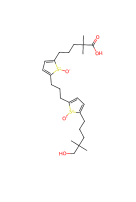 CC(C)(CO)CCCc1ccc(CCCc2ccc(CCCC(C)(C)C(=O)O)[s+]2[O-])[s+]1[O-]